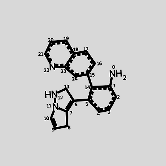 Nc1cccc(C2=C3CC=CN3NC2)c1-c1ccc2cccnc2c1